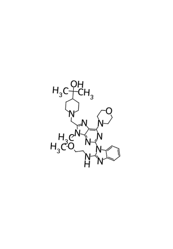 COCCNc1nc2ccccc2n1-c1nc(N2CCOCC2)c2nc(CN3CCC(C(C)(C)O)CC3)n(C)c2n1